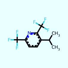 CC(C)c1ccc(C(F)(F)F)nc1C(F)(F)F